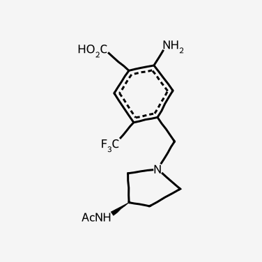 CC(=O)N[C@@H]1CCN(Cc2cc(N)c(C(=O)O)cc2C(F)(F)F)C1